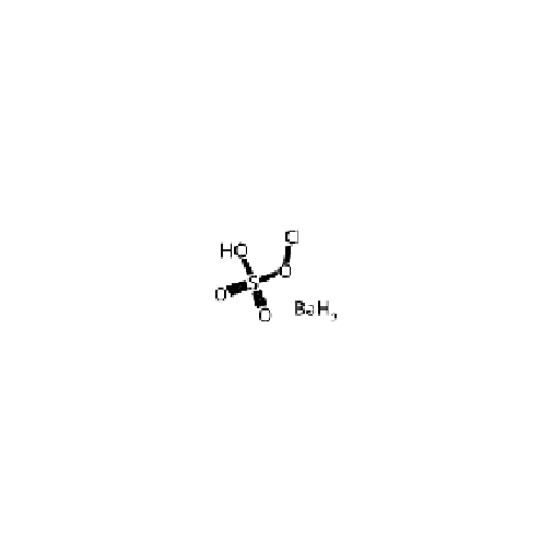 O=S(=O)(O)OCl.[BaH2]